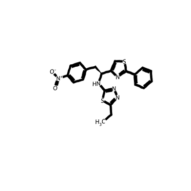 CCc1nnc(N[C@@H](Cc2ccc([N+](=O)[O-])cc2)c2csc(-c3ccccc3)n2)s1